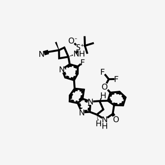 CC(C)(C)[S+]([O-])N[C@]1(c2ncc(-c3ccc4nc5n(c4c3)[C@@H]3C[C@H]5NC(=O)c4cccc(OC(F)F)c43)cc2F)C[C@](C)(C#N)C1